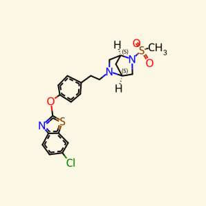 CS(=O)(=O)N1C[C@@H]2C[C@H]1CN2CCc1ccc(Oc2nc3ccc(Cl)cc3s2)cc1